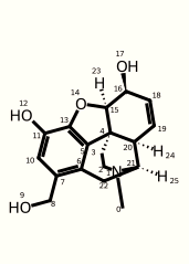 CN1CC[C@]23c4c5c(CO)cc(O)c4O[C@H]2[C@@H](O)C=C[C@H]3[C@H]1C5